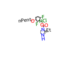 CCCCCOc1ccc(F)c(COC(=O)N2CCNC[C@H]2CC)c1F.Cl